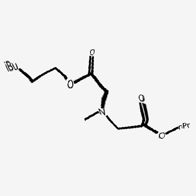 CCCOC(=O)CN(C)CC(=O)OCCC(C)CC